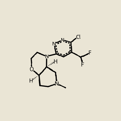 CN1CC[C@H]2OCCN(c3cc(C(F)F)c(Cl)nn3)[C@H]2C1